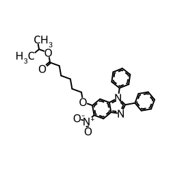 CC(C)OC(=O)CCCCCOc1cc2c(cc1[N+](=O)[O-])nc(-c1ccccc1)n2-c1ccccc1